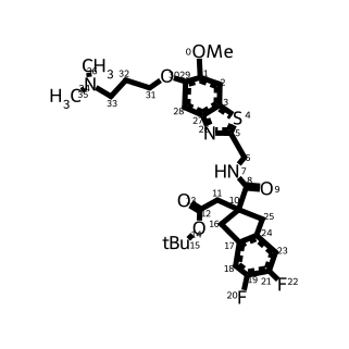 COc1cc2sc(CNC(=O)C3(CC(=O)OC(C)(C)C)Cc4cc(F)c(F)cc4C3)nc2cc1OCCCN(C)C